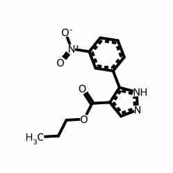 CCCOC(=O)c1cn[nH]c1-c1cccc([N+](=O)[O-])c1